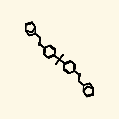 C[Si](C)(c1ccc(OCC2CC3C=CC2C3)cc1)c1ccc(OCC2CC3C=CC2C3)cc1